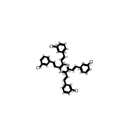 Clc1cccc(C=Cc2nc(C=Cc3cccc(Cl)c3)c(C=Cc3cccc(Cl)c3)nc2C=Cc2cccc(Cl)c2)c1